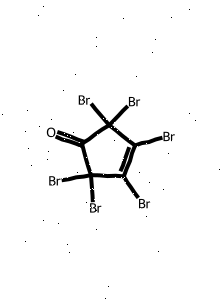 O=C1C(Br)(Br)C(Br)=C(Br)C1(Br)Br